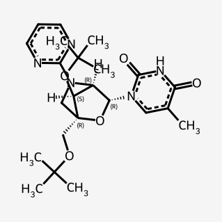 Cc1cn([C@@H]2O[C@@]3(COC(C)(C)C)CN(c4ncccn4)[C@@H]2[C@@H]3OC(C)(C)C)c(=O)[nH]c1=O